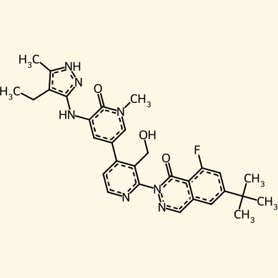 CCc1c(Nc2cc(-c3ccnc(-n4ncc5cc(C(C)(C)C)cc(F)c5c4=O)c3CO)cn(C)c2=O)n[nH]c1C